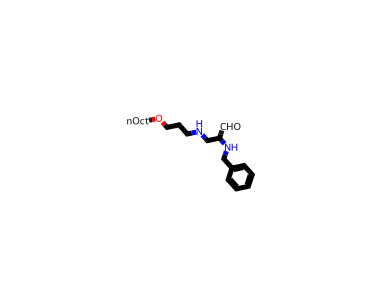 CCCCCCCCOCCCNCC(C=O)NCc1ccccc1